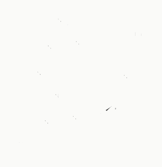 CC(C)(C)OC(=O)N1CCC[C@@H](Oc2cc(-c3cnc(N)nc3N)nc(N3CCOCC3)n2)C1